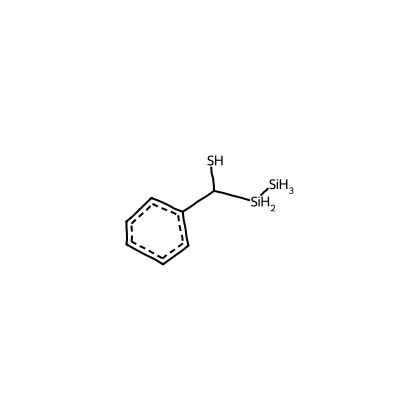 [SiH3][SiH2]C(S)c1ccccc1